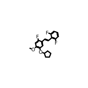 COc1cc(F)c(/C=C/c2c(F)cccc2F)cc1OC1CCCC1